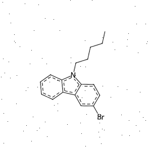 CCCCCn1c2ccccc2c2cc(Br)ccc21